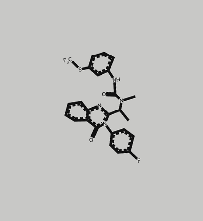 CC(c1nc2ccccc2c(=O)n1-c1ccc(F)cc1)N(C)C(=O)Nc1cccc(SC(F)(F)F)c1